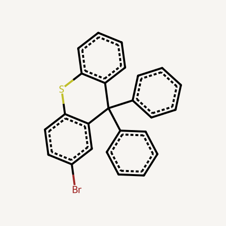 Brc1ccc2c(c1)C(c1ccccc1)(c1ccccc1)c1ccccc1S2